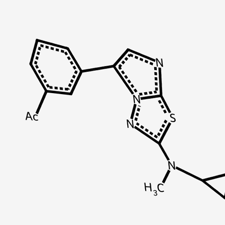 CC(=O)c1cccc(-c2cnc3sc(N(C)C4CC4)nn23)c1